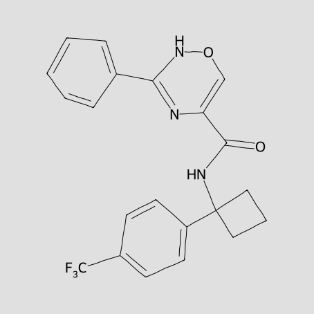 O=C(NC1(c2ccc(C(F)(F)F)cc2)CCC1)C1=CONC(c2ccccc2)=N1